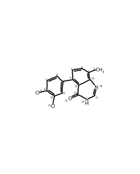 Cc1ccc(-c2ccc(Cl)c(Cl)c2)c2c(=O)[nH]cnc12